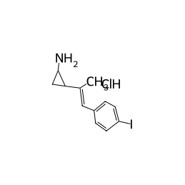 C/C(=C\c1ccc(I)cc1)C1CC1N.Cl